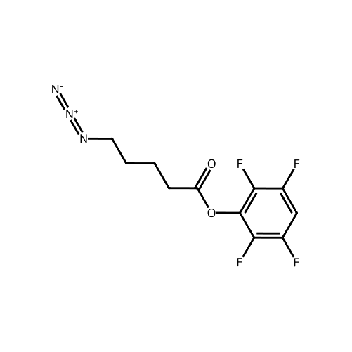 [N-]=[N+]=NCCCCC(=O)Oc1c(F)c(F)cc(F)c1F